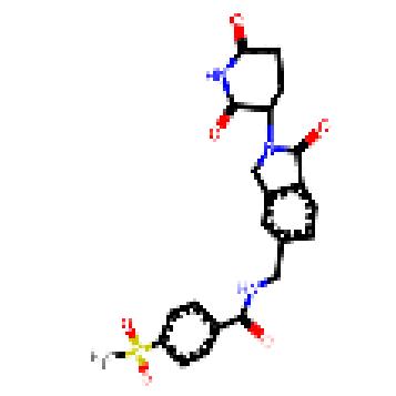 CS(=O)(=O)c1ccc(C(=O)NCc2ccc3c(c2)CN(C2CCC(=O)NC2=O)C3=O)cc1